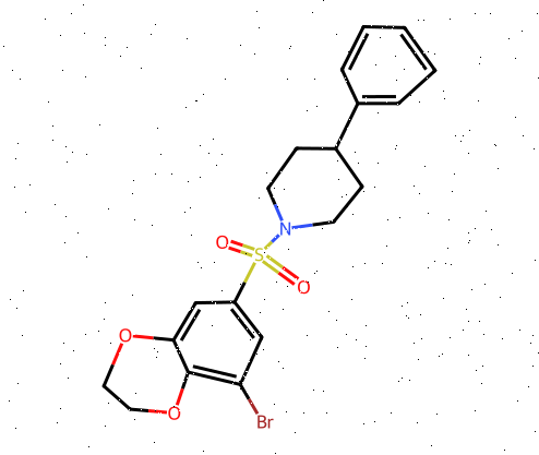 O=S(=O)(c1cc(Br)c2c(c1)OCCO2)N1CCC(c2ccccc2)CC1